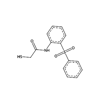 O=C(CS)Nc1ccccc1S(=O)(=O)c1ccccc1